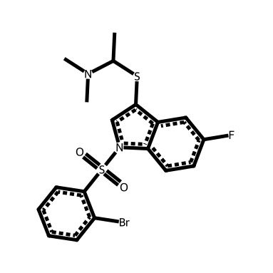 CC(Sc1cn(S(=O)(=O)c2ccccc2Br)c2ccc(F)cc12)N(C)C